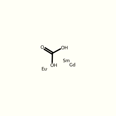 O=C(O)O.[Eu].[Gd].[Sm]